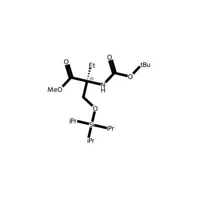 CC[C@@](CO[Si](C(C)C)(C(C)C)C(C)C)(NC(=O)OC(C)(C)C)C(=O)OC